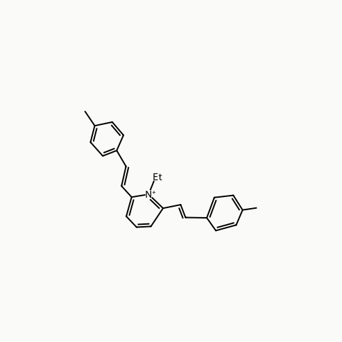 CC[n+]1c(/C=C/c2ccc(C)cc2)cccc1/C=C/c1ccc(C)cc1